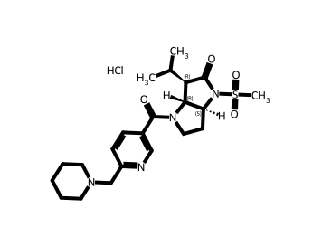 CC(C)[C@H]1C(=O)N(S(C)(=O)=O)[C@H]2CCN(C(=O)c3ccc(CN4CCCCC4)nc3)[C@H]12.Cl